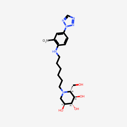 O=[N+]([O-])c1cc(-n2ncnn2)ccc1NCCCCCCN1C[C@H](O)[C@@H](O)[C@H](O)[C@H]1CO